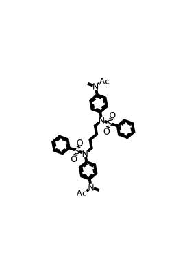 CC(=O)N(C)c1ccc(N(CCCCN(c2ccc(N(C)C(C)=O)cc2)S(=O)(=O)c2ccccc2)S(=O)(=O)c2ccccc2)cc1